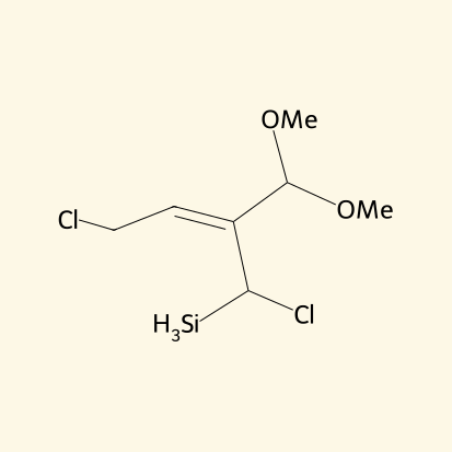 COC(OC)C(=CCCl)C([SiH3])Cl